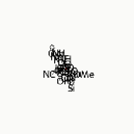 COC(=O)c1cc([C@@H]2O[C@H](CO)[C@@H](OP(=O)(OCCC#N)OC[C@H]3O[C@@H](n4cnc5c(NC(=O)c6ccccc6)ncnc54)[C@H](F)[C@@H]3O[PH](=O)O)[C@H]2O[Si](C)(C)C(C)(C)C)n(COCC[Si](C)(C)C)n1